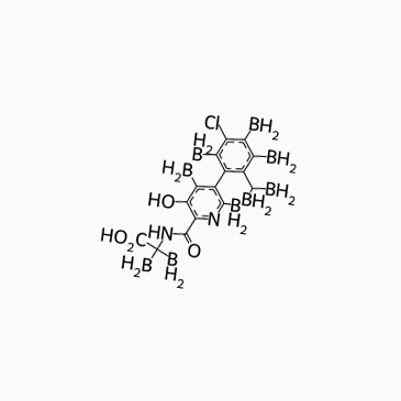 Bc1nc(C(=O)NC(B)(B)C(=O)O)c(O)c(B)c1-c1c(B)c(Cl)c(B)c(B)c1C(B)B